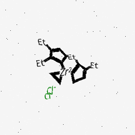 CCC1=CC[C]([Zr+2]2([C]3=C(CC)C(CC)=CC3)[CH2][CH2]2)=C1CC.[Cl-].[Cl-]